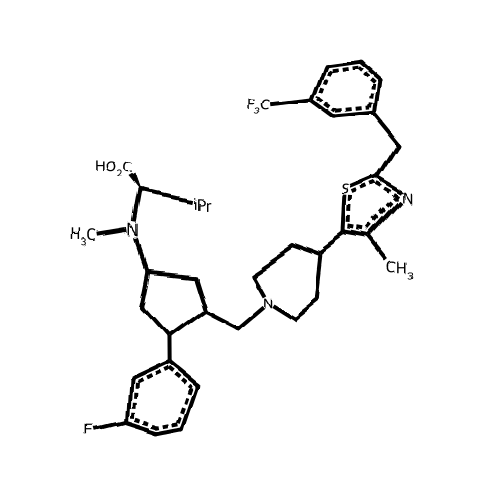 Cc1nc(Cc2cccc(C(F)(F)F)c2)sc1C1CCN(CC2CC(N(C)[C@@H](C(=O)O)C(C)C)CC2c2cccc(F)c2)CC1